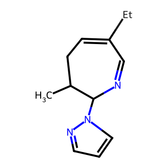 CCC1=CCC(C)C(n2cccn2)N=C1